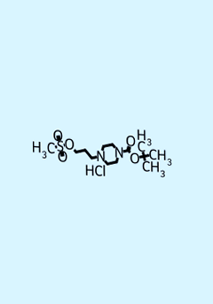 CC(C)(C)OC(=O)N1CCN(CCCOS(C)(=O)=O)CC1.Cl